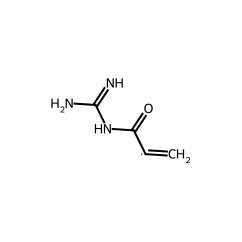 C=[C]C(=O)NC(=N)N